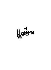 CNC(=O)c1ccc(NC(=O)/C=C/CN(C)C)cc1